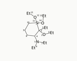 CCOC1(CC)C(N(CC)CC)CCC[Si]1(OCC)OCC